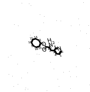 N[C@H](Cc1cccnc1)C(=O)OC1CCCCCCC1